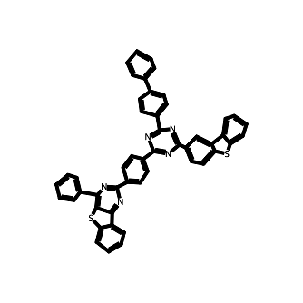 c1ccc(-c2ccc(-c3nc(-c4ccc(-c5nc(-c6ccccc6)c6sc7ccccc7c6n5)cc4)nc(-c4ccc5sc6ccccc6c5c4)n3)cc2)cc1